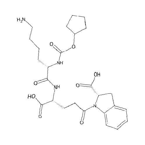 NCCCC[C@H](NC(=O)OC1CCCC1)C(=O)N[C@H](CCC(=O)N1c2ccccc2C[C@H]1C(=O)O)C(=O)O